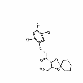 O=C(COc1nc(Cl)c(Cl)cc1Cl)C1OC2(CCCCC2)OC1CO